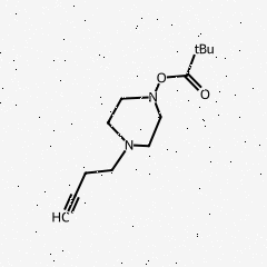 C#CCCN1CCN(OC(=O)C(C)(C)C)CC1